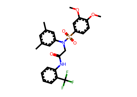 COc1ccc(S(=O)(=O)N(CC(=O)Nc2ccccc2C(F)(F)F)c2cc(C)cc(C)c2)cc1OC